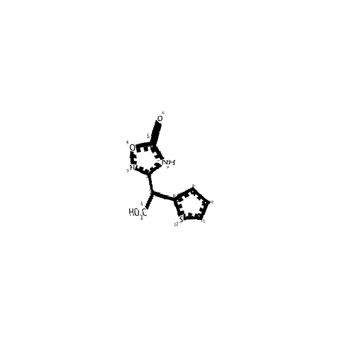 O=C(O)C(c1noc(=O)[nH]1)c1cccs1